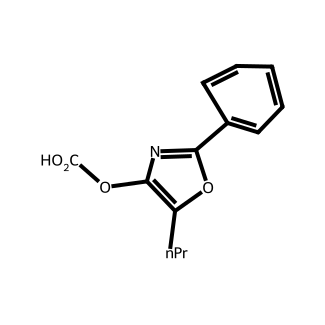 CCCc1oc(-c2ccccc2)nc1OC(=O)O